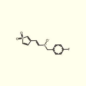 O=S1(=O)C=CC(C=C[S+]([O-])Cc2ccc(F)cc2)=C1